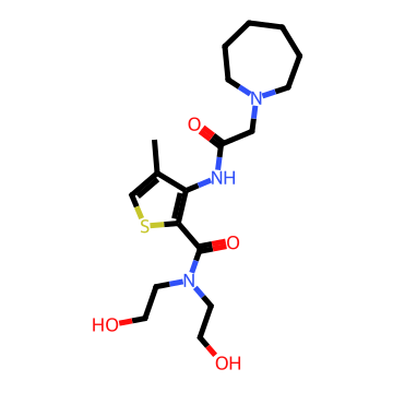 Cc1csc(C(=O)N(CCO)CCO)c1NC(=O)CN1CCCCCC1